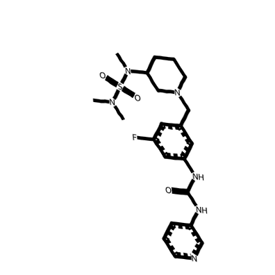 CN(C)S(=O)(=O)N(C)C1CCCN(Cc2cc(F)cc(NC(=O)Nc3cccnc3)c2)C1